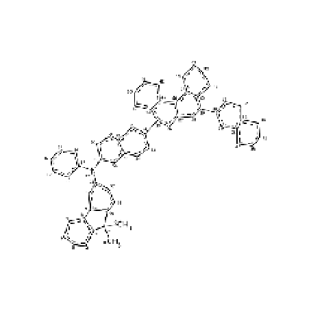 CC1(C)c2ccccc2-c2cc(N(c3ccccc3)c3ccc4cc(-c5cc6cc(-c7ccc8ccccc8c7)c7ccccc7c6c6ccccc56)ccc4c3)ccc21